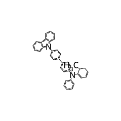 CC1CC=CC=C1N(c1ccccc1)c1ccc(-c2ccc(-n3c4ccccc4c4ccccc43)cc2)cc1